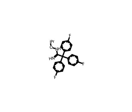 CC(C)ONC(=N)C(c1ccc(F)cc1)(c1ccc(F)cc1)c1ccc(F)cc1